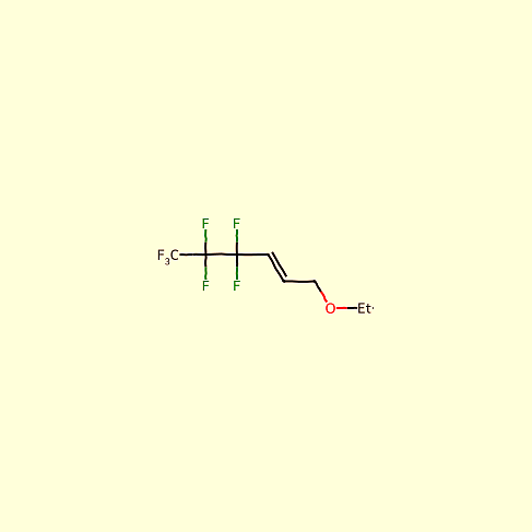 C[CH]OC/C=C/C(F)(F)C(F)(F)C(F)(F)F